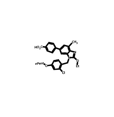 CCCCCOc1ccc(Cn2c(OCC)nc3c(C)cc(-c4ccc(C(=O)O)cc4)cc32)c(Cl)c1